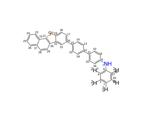 [2H]c1c([2H])c([2H])c(Nc2ccc(-c3ccc(-c4ccc5sc6c7ccccc7ccc6c5c4)cc3)cc2)c([2H])c1[2H]